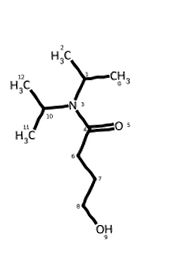 CC(C)N(C(=O)CCCO)C(C)C